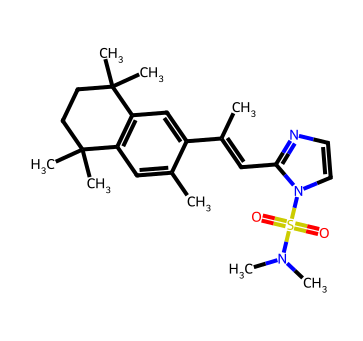 CC(=Cc1nccn1S(=O)(=O)N(C)C)c1cc2c(cc1C)C(C)(C)CCC2(C)C